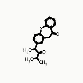 CC(C)C(=O)C(C)c1ccc2c(c1)CC(=O)c1ccccc1S2